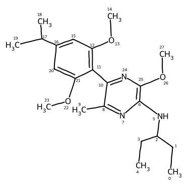 CCC(CC)Nc1nc(C)c(-c2c(OC)cc(C(C)C)cc2OC)nc1OC